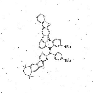 CC(C)(C)c1ccc(N2B3c4cc(C(C)(C)C)ccc4-n4c5cc6oc7ccccc7c6cc5c5ccc(c3c54)-c3cc4c(cc32)sc2cc3c(cc24)C(C)(C)CCC3(C)C)cc1